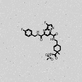 CC1(C(=O)NS(C)(=O)=O)CC=C(CNC(=O)c2cc(C(=O)NCc3ccc(F)cc3)nc3c(F)cnn23)CC1